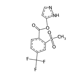 CS(=O)(=O)c1cc(C(F)(F)F)ccc1C(=O)Oc1ccn[nH]1